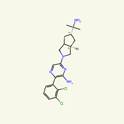 CC(C)(N)[C@H]1CC2CN(c3cnc(-c4cccc(Cl)c4Cl)c(N)n3)C[C@@H]2C1